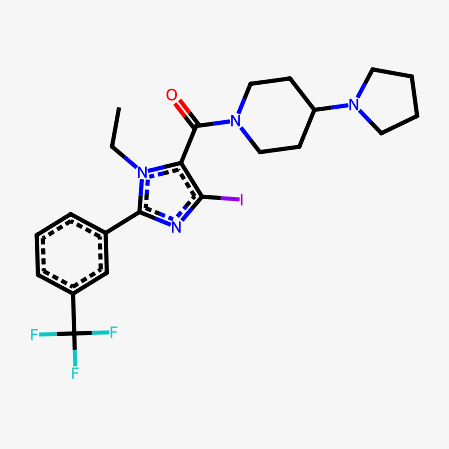 CCn1c(-c2cccc(C(F)(F)F)c2)nc(I)c1C(=O)N1CCC(N2CCCC2)CC1